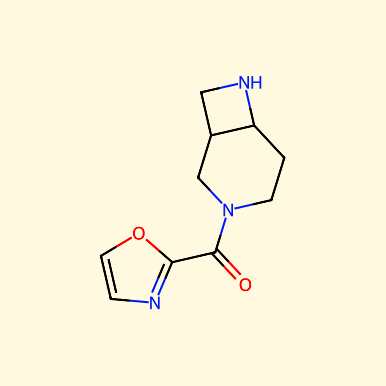 O=C(c1ncco1)N1CCC2NCC2C1